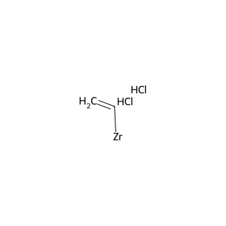 C=[CH][Zr].Cl.Cl